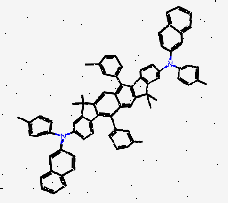 Cc1ccc(N(c2ccc3c(c2)C(C)(C)c2cc4c(-c5cccc(C)c5)c5c(cc4c(-c4cccc(C)c4)c2-3)C(C)(C)c2cc(N(c3ccc(C)cc3)c3ccc4ccccc4c3)ccc2-5)c2ccc3ccccc3c2)cc1